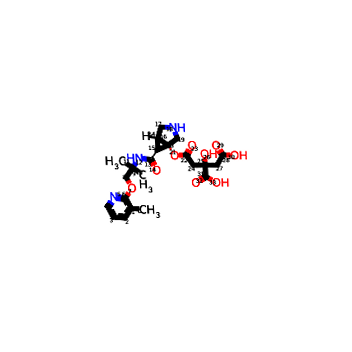 Cc1cccnc1OCC(C)(C)NC(=O)[C@@H]1[C@@H]2CNC[C@@]12OC(=O)CC(O)(CC(=O)O)C(=O)O